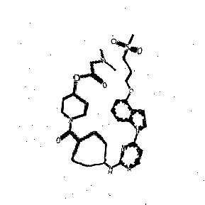 CN(C)CC(=O)OC1CCN(C(=O)C2CCC(Nc3nccc(-n4ccc5c(OCCCS(C)(=O)=O)cccc54)n3)CC2)CC1